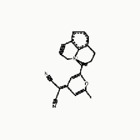 C=C(C1=CC(=C(C#N)C#N)C=C(C)O1)[N+]12CC#Cc3cccc(c31)CCC2